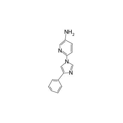 Nc1ccc(-n2cnc(-c3ccccc3)c2)nc1